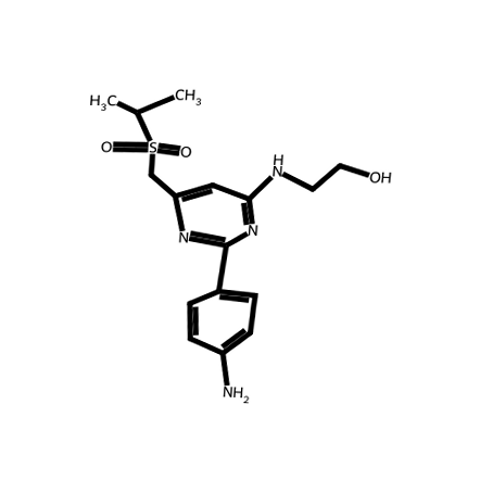 CC(C)S(=O)(=O)Cc1cc(NCCO)nc(-c2ccc(N)cc2)n1